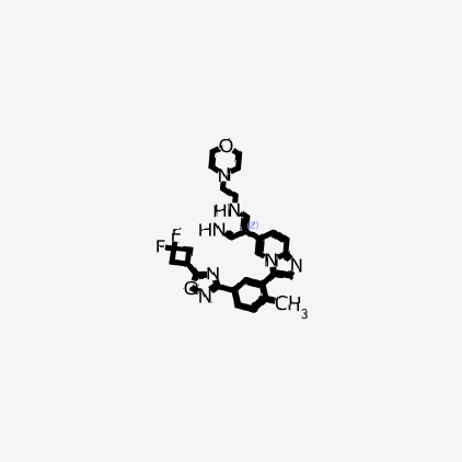 CC1=CCC(c2noc(C3CC(F)(F)C3)n2)C=C1c1cnc2ccc(/C(C=N)=C/NCCN3CCOCC3)cn12